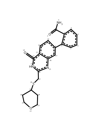 NC(=O)c1ccccc1-c1ccc2c(=O)[nH]c(CSC3CCOCC3)nc2c1